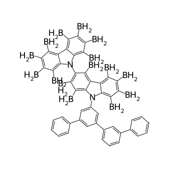 Bc1c(B)c(B)c2c(c1B)c1c(B)c(-n3c4c(B)c(B)c(B)c(B)c4c4c(B)c(B)c(B)c(B)c43)c(B)c(B)c1n2-c1cc(-c2ccccc2)cc(-c2cccc(-c3ccccc3)c2)c1